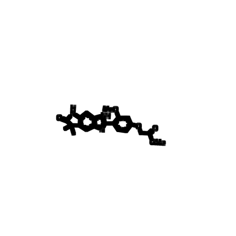 COC(=O)COc1ccc(-c2nc3cc4c(cc3[nH]2)NC(=O)C4(C)C)c(OC)c1